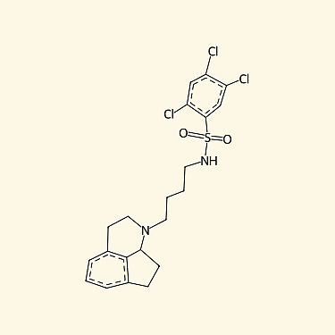 O=S(=O)(NCCCCN1CCc2cccc3c2C1CC3)c1cc(Cl)c(Cl)cc1Cl